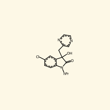 CCCN1C(=O)C(O)(Cc2cnccn2)c2cc(Cl)ccc21